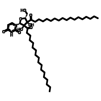 CCCCCCCCCCCCCCCCCC(=O)[C@@]1(O)[C@@H](CO)O[C@@H](n2ccc(=O)[nH]c2=O)[C@@]1(O)C(=O)CCCCCCCCCCCCCCCCC